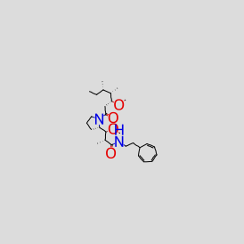 CC[C@H](C)[C@H](C)[C@@H](CC(=O)N1CCC[C@H]1[C@H](OC)[C@@H](C)C(=O)NCCC1C=CC=CC=C1)OC